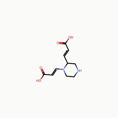 O=C(O)C=CC1CNCCN1C=CC(=O)O